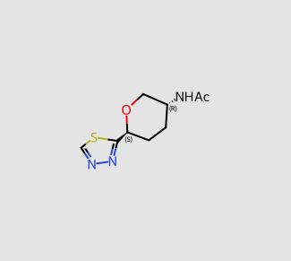 CC(=O)N[C@@H]1CC[C@@H](c2nncs2)OC1